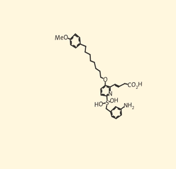 COc1ccc(CCCCCCCCOc2ccc(S(O)(O)Cc3cccc(N)c3)nc2C=CCC(=O)O)cc1